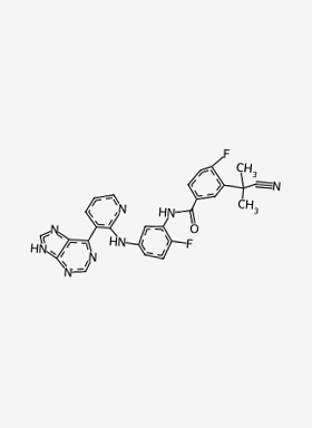 CC(C)(C#N)c1cc(C(=O)Nc2cc(Nc3ncccc3-c3ncnc4[nH]cnc34)ccc2F)ccc1F